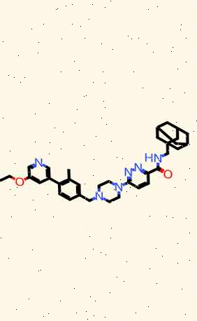 CCOc1cncc(-c2ccc(CN3CCN(c4ccc(C(=O)NCC56CC7CC(CC(C7)C5)C6)nn4)CC3)cc2C)c1